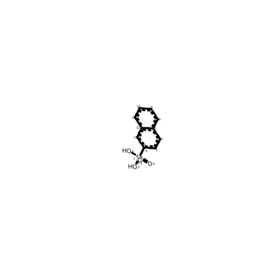 O=[SeH](O)(O)c1ccc2ccccc2c1